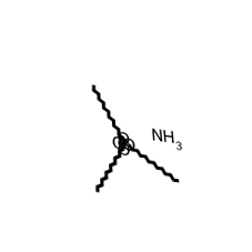 CCCCCCCCCCCCOP(=O)(OCCCCCCCCCCCC)OCCCCCCCCCCCC.N